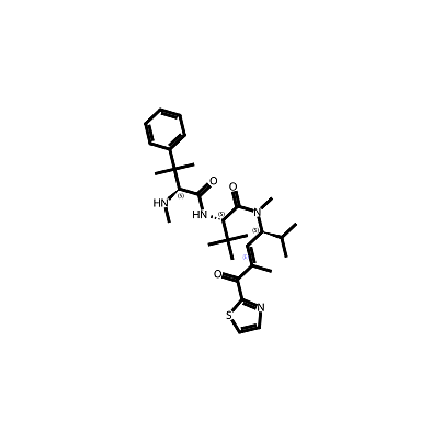 CN[C@H](C(=O)N[C@H](C(=O)N(C)[C@H](/C=C(\C)C(=O)c1nccs1)C(C)C)C(C)(C)C)C(C)(C)c1ccccc1